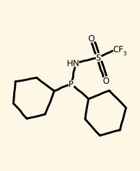 O=S(=O)(NP(C1CCCCC1)C1CCCCC1)C(F)(F)F